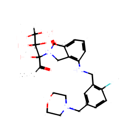 CNC(=O)C(O)(N1Cc2c(NCc3cc(CN4CCOCC4)ccc3F)cccc2C1=O)C(O)(O)C(O)(O)C=O